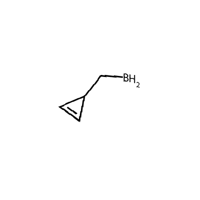 BCC1C=C1